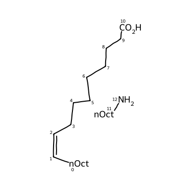 CCCCCCCC/C=C\CCCCCCCC(=O)O.CCCCCCCCN